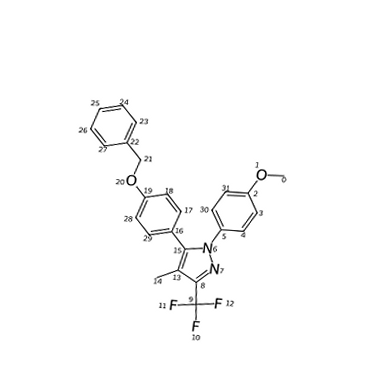 COc1ccc(-n2nc(C(F)(F)F)c(C)c2-c2ccc(OCc3ccccc3)cc2)cc1